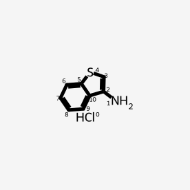 Cl.Nc1csc2ccccc12